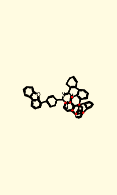 C1=CC(c2cccc3c2Oc2ccccc2C32c3ccccc3-c3ccccc32)=C(C2=NC(C3C=CC(c4cccc5c4oc4ccccc45)=CC3)NC(c3ccccc3)=N2)CC1